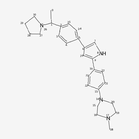 CC(c1ccc(-c2c[nH]c(-c3ccc(N4CCN(C)CC4)cc3)c2)cc1)N1CCCC1